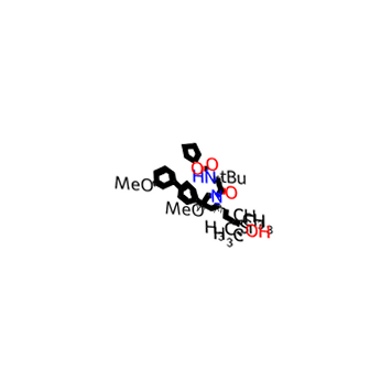 COc1cccc(-c2ccc([C@]3(OC)C[C@@H](CCC(C)(C)[Si](C)(C)O)N(C(=O)[C@@H](NC(=O)OC4CCCC4)C(C)(C)C)C3)cc2)c1